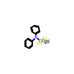 O=C(O)N(c1ccccc1)c1ccccc1.SS.[Zn]